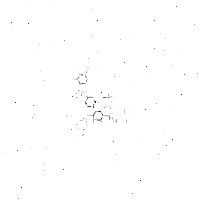 Cc1cc(F)ccc1CN1CCc2cc(-c3c(CN4CCSCC4)nc(C)c([C@H](OC(C)(C)C)C(=O)O)c3N3CCC(C)(C)CC3)ccc2C1